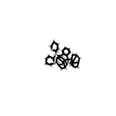 PC(c1ccccc1CP(c1ccccn1)c1ccccn1)(C12CC3CC(CC(C3)C1)C2)C12CC3CC(CC(C3)C1)C2